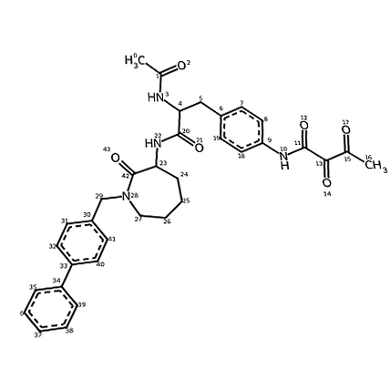 CC(=O)NC(Cc1ccc(NC(=O)C(=O)C(C)=O)cc1)C(=O)NC1CCCCN(Cc2ccc(-c3ccccc3)cc2)C1=O